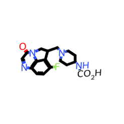 O=C(O)NC1CCN(CC2Cn3c(=O)cnc4ccc(F)c2c43)CC1